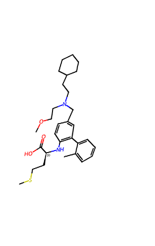 COCCN(CCC1CCCCC1)Cc1ccc(N[C@@H](CCSC)C(=O)O)c(-c2ccccc2C)c1